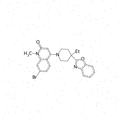 CCC1(c2nc3ccccc3o2)CCN(c2cc(=O)n(C)c3cc(Br)ccc23)CC1